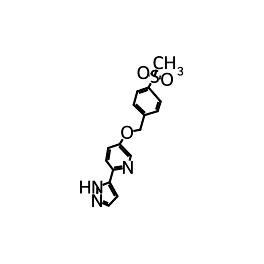 CS(=O)(=O)c1ccc(COc2ccc(-c3ccn[nH]3)nc2)cc1